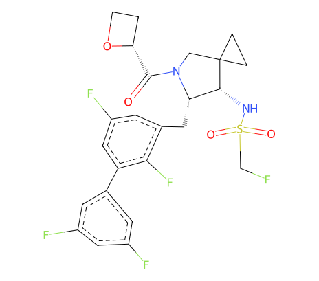 O=C([C@H]1CCO1)N1CC2(CC2)[C@H](NS(=O)(=O)CF)[C@@H]1Cc1cc(F)cc(-c2cc(F)cc(F)c2)c1F